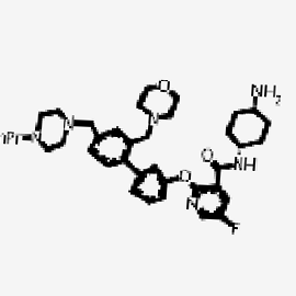 CCCN1CCN(Cc2ccc(-c3cccc(Oc4ncc(F)cc4C(=O)N[C@H]4CC[C@H](N)CC4)c3)c(CN3CCOCC3)c2)CC1